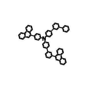 c1ccc(-c2cccc(-c3ccc(N(c4ccc(-c5cccc(-c6cc7ccccc7c7ccccc67)c5)cc4)c4ccc(-c5cc6ccccc6c6ccccc56)cc4)cc3)c2)cc1